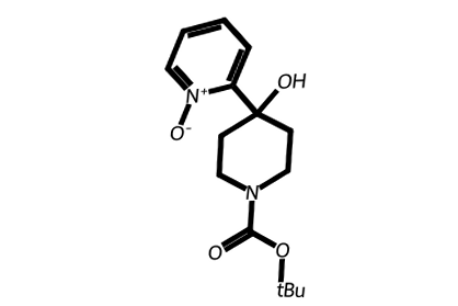 CC(C)(C)OC(=O)N1CCC(O)(c2cccc[n+]2[O-])CC1